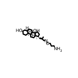 CC(/C=N/OCCCN)=C\[C@H]1CC[C@]2(O)[C@@H]3CC[C@@H]4C[C@@H](O)CC[C@]4(C)[C@H]3CC[C@]12C